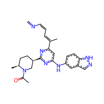 C=N/C=C\C=C(/C)c1cc(Nc2ccc3[nH]ncc3c2)nc([C@@H]2CC[C@H](C)N(C(C)=O)C2)n1